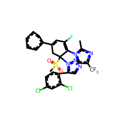 Cc1nc(C(F)(F)F)cn1C1=C(F)C=C(c2ccccc2)CC1(n1nncc1-c1ccc(Cl)cc1Cl)S(C)(=O)=O